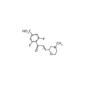 CN1CCOC(/C=C/C(=O)c2c(F)cc(C(=O)O)cc2F)C1